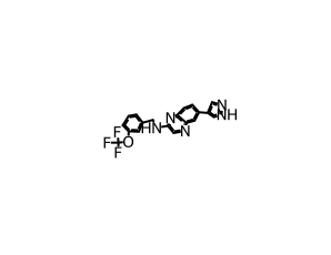 FC(F)(F)Oc1cccc(CNc2cnc3cc(-c4cn[nH]c4)ccc3n2)c1